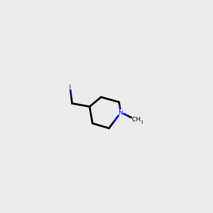 CN1CCC(CI)CC1